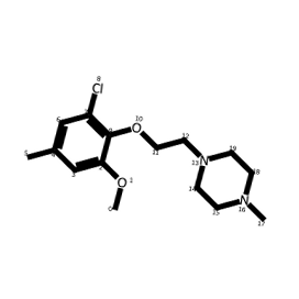 COc1cc(C)cc(Cl)c1OCCN1CCN(C)CC1